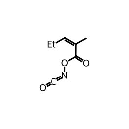 CCC=C(C)C(=O)ON=C=O